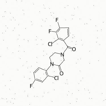 O=C(c1ccc(F)c(F)c1Cl)N1CCN(c2ccc(F)cc2Cl)C(=O)C1